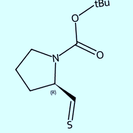 CC(C)(C)OC(=O)N1CCC[C@@H]1C=S